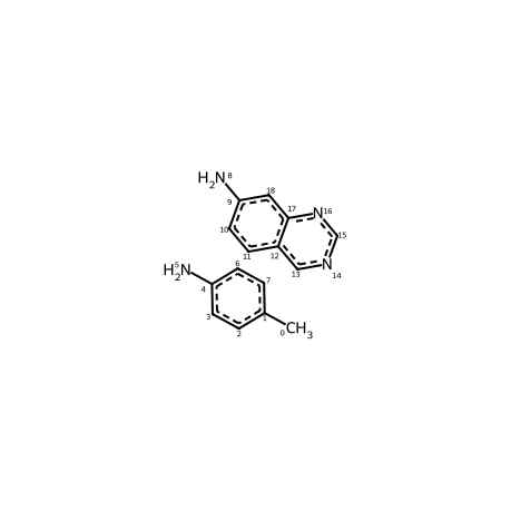 Cc1ccc(N)cc1.Nc1ccc2cncnc2c1